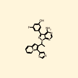 CC(c1cc2ccccn2c1-c1cncs1)n1nc(-c2cc(O)cc(F)c2)c2c(N)ncnc21